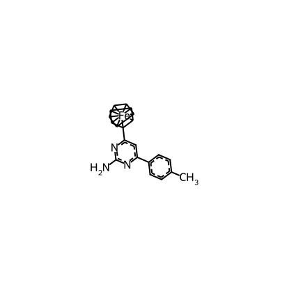 Cc1ccc(-c2cc([C]34[CH]5[CH]6[CH]7[CH]3[Fe]6754389%10[CH]4[CH]3[CH]8[CH]9[CH]4%10)nc(N)n2)cc1